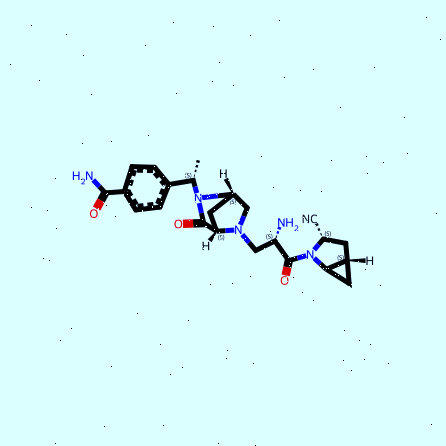 C[C@@H](c1ccc(C(N)=O)cc1)N1C(=O)[C@@H]2C[C@H]1CN2C[C@H](N)C(=O)N1C2C[C@H]2C[C@H]1C#N